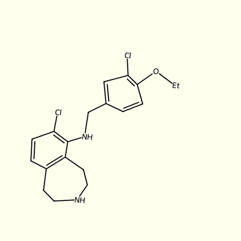 CCOc1ccc(CNc2c(Cl)ccc3c2CCNCC3)cc1Cl